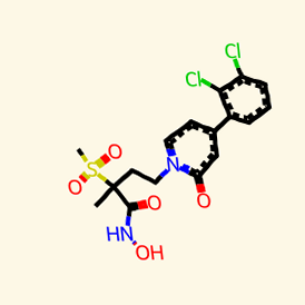 CC(CCn1ccc(-c2cccc(Cl)c2Cl)cc1=O)(C(=O)NO)S(C)(=O)=O